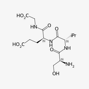 CC(C)[C@H](NC(=O)[C@@H](N)CO)C(=O)N[C@@H](CCC(=O)O)C(=O)NCC(=O)O